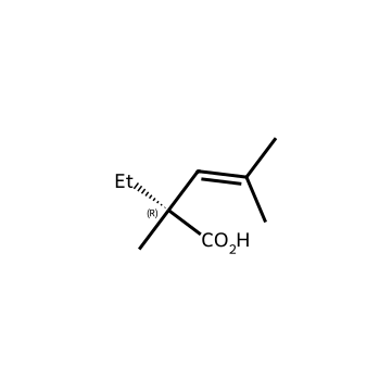 CC[C@](C)(C=C(C)C)C(=O)O